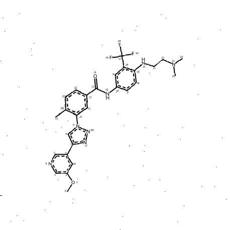 COc1cncc(-c2cn(-c3cc(C(=O)Nc4ccc(NCCN(C)C)c(C(F)(F)F)c4)ccc3C)nn2)c1